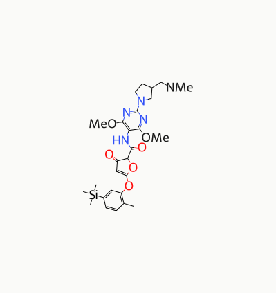 CNCC1CCN(c2nc(OC)c(NC(=O)C3OC(Oc4cc([Si](C)(C)C)ccc4C)=CC3=O)c(OC)n2)C1